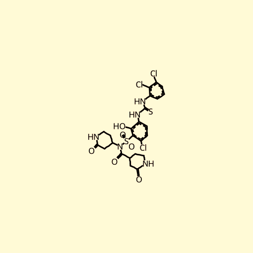 O=C1CC(C(=O)N(C2CCNC(=O)C2)S(=O)(=O)c2c(Cl)ccc(NC(=S)Nc3cccc(Cl)c3Cl)c2O)CCN1